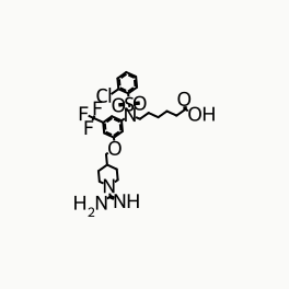 N=C(N)N1CCC(COc2cc(N(CCCCCC(=O)O)S(=O)(=O)c3ccccc3Cl)cc(C(F)(F)F)c2)CC1